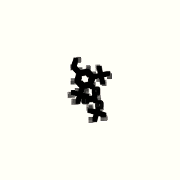 CCc1cc(C(C)(C)C)c(OC(=O)OC(C)(C)C)c(C(C)(C)C)c1